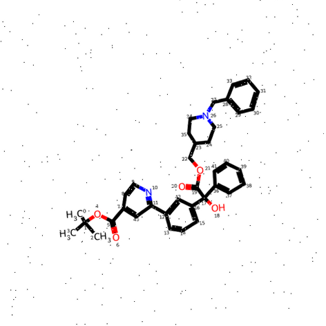 CC(C)(C)OC(=O)c1ccnc(-c2cccc(C(O)(C(=O)OCC3CCN(Cc4ccccc4)CC3)c3ccccc3)c2)c1